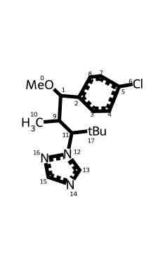 COC(c1ccc(Cl)cc1)C(C)C(n1cncn1)C(C)(C)C